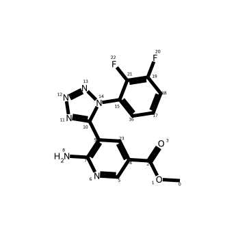 COC(=O)c1cnc(N)c(-c2nnnn2-c2cccc(F)c2F)c1